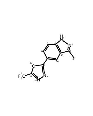 Cc1n[nH]c2ccc(-c3nnc(C(F)(F)F)o3)cc12